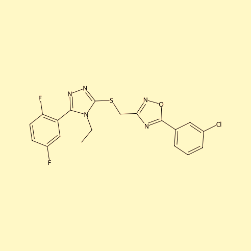 CCn1c(SCc2noc(-c3cccc(Cl)c3)n2)nnc1-c1cc(F)ccc1F